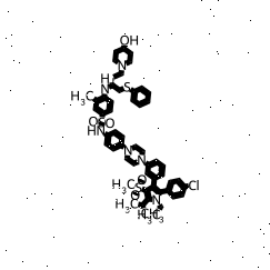 CCn1c(-c2ccc(Cl)cc2)c(-c2cccc(N3CCN(c4ccc(NS(=O)(=O)c5ccc(N[C@H](CCN6CCC(O)CC6)CSc6ccccc6)c(C)c5)cc4)CC3)c2)c(S(C)(=O)=O)c1C(C)C